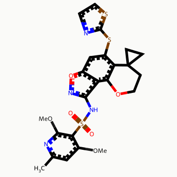 COc1cc(C)nc(OC)c1S(=O)(=O)Nc1noc2cc(Sc3nccs3)c3c(c12)OCCC31CC1